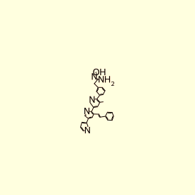 Cc1cc(-c2ncc(-c3cccnc3)cc2C=Cc2ccccc2)cnc1-c1cccc(C/C(N)=N/O)c1